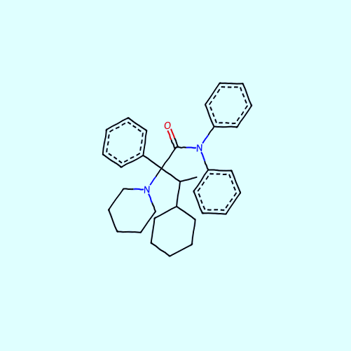 CC(C1CCCCC1)C(C(=O)N(c1ccccc1)c1ccccc1)(c1ccccc1)N1CCCCC1